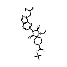 CCN1C(=O)N(c2cnc3cnn(CC(F)F)c3n2)C(=O)C12CCN(C(=O)OC(C)(C)C)CC2